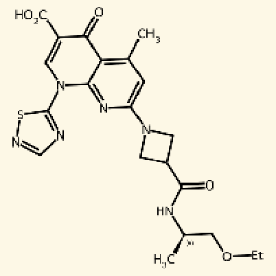 CCOC[C@@H](C)NC(=O)C1CN(c2cc(C)c3c(=O)c(C(=O)O)cn(-c4ncns4)c3n2)C1